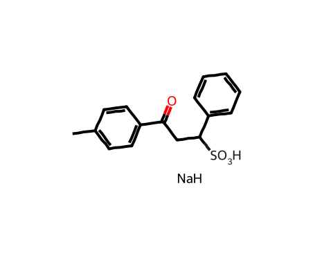 Cc1ccc(C(=O)CC(c2ccccc2)S(=O)(=O)O)cc1.[NaH]